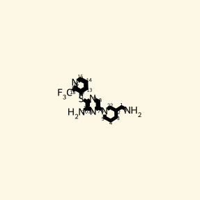 NCC1CCCN(c2cnc(Sc3cccnc3C(F)(F)F)c(N)n2)C1